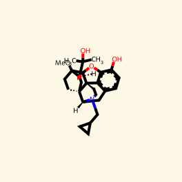 COC12CC[C@@]3(C[C@@H]1C(C)(C)O)[C@H]1Cc4ccc(O)c5c4[C@@]3(CCN1CC1CC1)[C@H]2O5